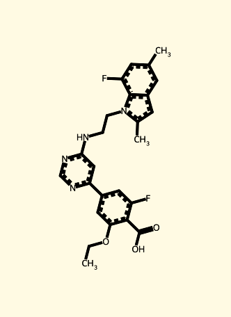 CCOc1cc(-c2cc(NCCn3c(C)cc4cc(C)cc(F)c43)ncn2)cc(F)c1C(=O)O